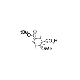 COc1ccc(C(=O)OC(C)(C)C)cc1C(=O)O